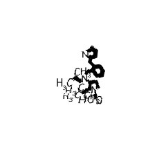 CC(C)CN(Cc1ccccc1Cc1ccccn1)[C@H]1CCN(C(=O)O)C1C(C)(C)C